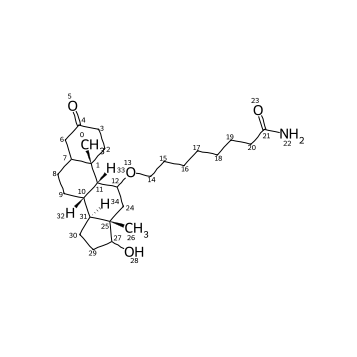 C[C@]12CCC(=O)CC1CC[C@@H]1[C@H]2C(OCCCCCCCC(N)=O)C[C@]2(C)C(O)CC[C@@H]12